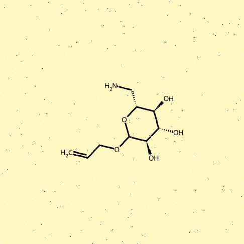 C=CCOC1O[C@H](CN)[C@@H](O)[C@H](O)[C@H]1O